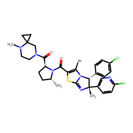 CC(C)C1=C(C(=O)N2[C@H](C)CC[C@H]2C(=O)N2CCN(C)C3(CC3)C2)SC2=N[C@@](C)(c3ccc(Cl)nc3)[C@@H](c3ccc(Cl)cc3)N21